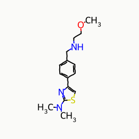 COCCNCc1ccc(-c2csc(N(C)C)n2)cc1